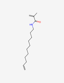 C=CCCCCCCCCCNC(=O)C(=C)C